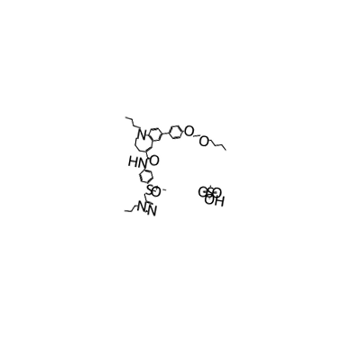 CCCCOCCOc1ccc(-c2ccc3c(c2)/C=C(/C(=O)Nc2ccc([S+]([O-])Cc4cncn4CCC)cc2)CCCN3CCCC)cc1.CS(=O)(=O)O